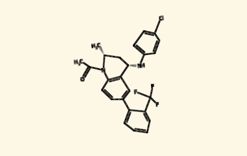 CC(=O)N1c2ccc(-c3ccccc3C(F)(F)F)cc2[C@@H](Nc2ccc(Cl)cc2)C[C@H]1C